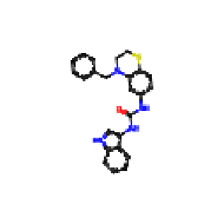 O=C(Nc1ccc2c(c1)N(Cc1ccccc1)CCS2)Nc1c[nH]c2ccccc12